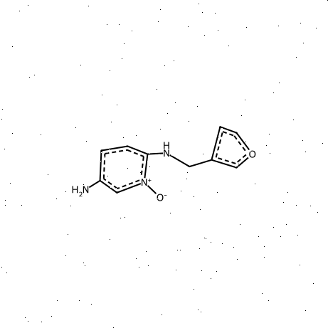 Nc1ccc(NCc2ccoc2)[n+]([O-])c1